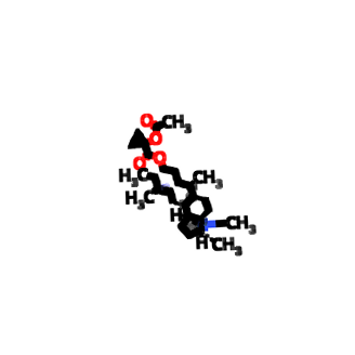 CC/C(C)=C/C[C@@H]1[C@@H]([C@@H](C)CCCOC(=O)C2(OC(C)=O)CC2)CC[C@]23CN(C)[C@@H](C)[C@H]2CC[C@@H]13